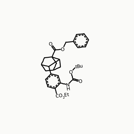 CCOC(=O)c1ccc(C2C3CC4CC2C(C(=O)OCc2ccccc2)(C4)C3)cc1NC(=O)OC(C)(C)C